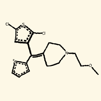 COCCN1CCC(=C(c2cccs2)c2cc(Cl)sc2Cl)CC1